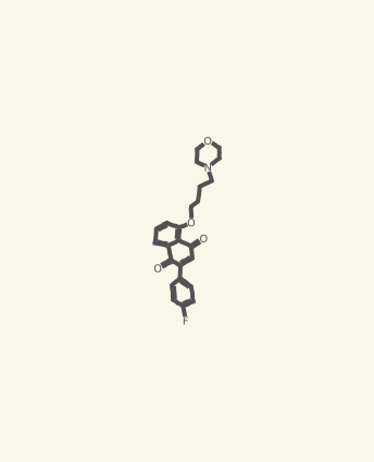 O=C1C(c2ccc(F)cc2)=CC(=O)c2c(OCCCCN3CCOCC3)cccc21